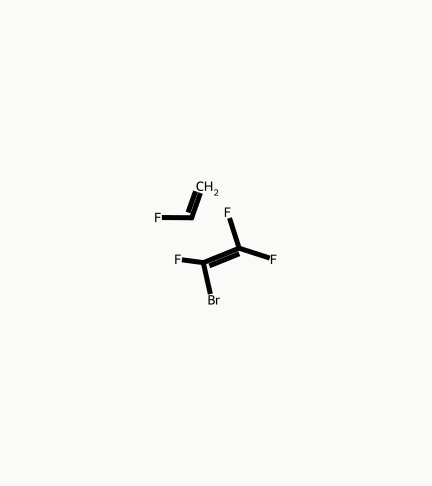 C=CF.FC(F)=C(F)Br